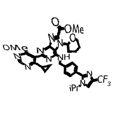 COC(=O)c1nc2nc(-c3c(OC)ncnc3C3CC3)nc(NCc3ccc(-c4nc(C(F)(F)F)cn4C(C)C)cc3)c2n1C1CCCCO1